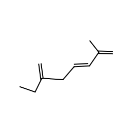 C=C(C)C=CCC(=C)CC